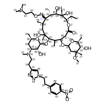 CC[C@H]1OC(=O)[C@H](C)C(OC2C[C@@](C)(OC)[C@@H](O)[C@H](C)O2)C(C)[C@@H](OC2O[C@H](C)C[C@H](N(C)CCc3cn(CCc4ccc([N+](=O)[O-])cc4)nn3)[C@H]2O)[C@](C)(O)C[C@@H](C)/C(=N\OCCN(C)C)[C@H](C)[C@@H](O)[C@]1(C)O